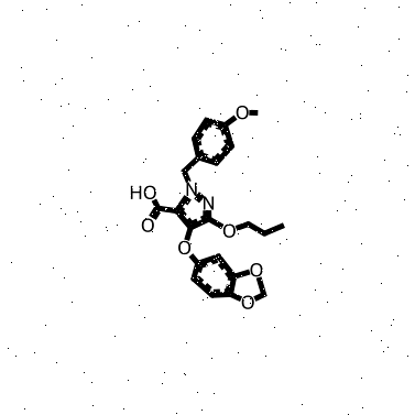 CCCOc1nn(Cc2ccc(OC)cc2)c(C(=O)O)c1Oc1ccc2c(c1)OCO2